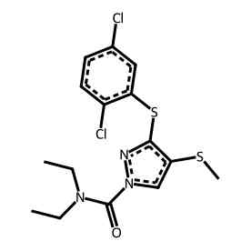 CCN(CC)C(=O)n1cc(SC)c(Sc2cc(Cl)ccc2Cl)n1